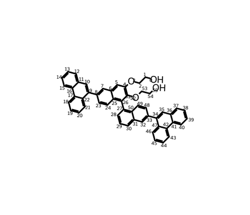 OCCOc1cc2cc(-c3cc4ccccc4c4ccccc34)ccc2c(-c2cccc3cc(-c4cc5ccccc5c5ccccc45)ccc23)c1OCCO